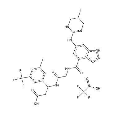 O=C(O)C(F)(F)F.O=C(O)CC(NC(=O)CNC(=O)c1cc(NC2=NCC(F)CN2)cc2[nH]ncc12)c1cc(I)cc(C(F)(F)F)c1